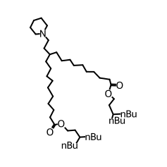 CCCCC(CCCC)CCOC(=O)CCCCCCCCCC(CCCCCCCCCC(=O)OCCC(CCCC)CCCC)CCN1CCCCC1